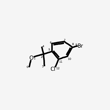 COC(C)(C)c1ccc(Br)cc1Cl